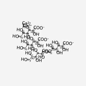 O=C([O-])[C@H](O)[C@@H](O)[C@H](O)[C@H](O)CO.O=C([O-])[C@H](O)[C@@H](O)[C@H](O)[C@H](O)CO.O=C([O-])[C@H](O)[C@@H](O)[C@H](O)[C@H](O)CO.O=C([O-])[C@H](O)[C@@H](O)[C@H](O)[C@H](O)CO.[Ca+2].[Ca+2]